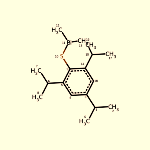 CC(C)c1cc(C(C)C)c([S][Bi]([CH3])[CH3])c(C(C)C)c1